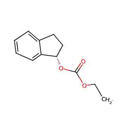 [CH2]COC(=O)O[C@H]1CCc2ccccc21